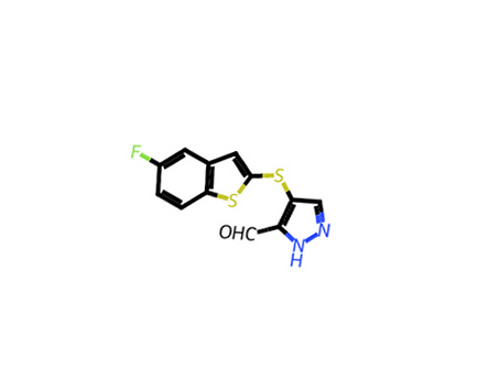 O=Cc1[nH]ncc1Sc1cc2cc(F)ccc2s1